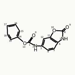 O=C(Nc1ccc2[nH]c(=O)oc2c1)Oc1ccccc1